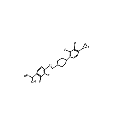 CCCC(O)c1ccc(OCC2CCC(c3ccc(C4CO4)c(F)c3F)CC2)c(F)c1F